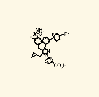 CC(C)c1ccc(-c2cccc(-c3nn(-c4nc(C(=O)O)cs4)c(CC4CC4)c3Cc3ccc(S(N)(=O)=O)c(F)c3)c2)nc1